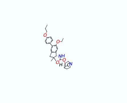 CCCOc1ccc(-c2cc3c(cc2OCC)[C@H](NC(=O)O[C@H]2CN4CCC2CC4)C(C)(C)C3)cc1